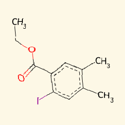 CCOC(=O)c1cc(C)c(C)cc1I